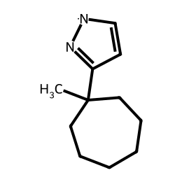 CC1(C2=N[N]C=C2)CCCCCC1